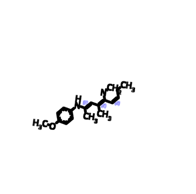 C=NC(/C=C\CC)=C(C)\C=C(/C)Nc1ccc(OC)cc1